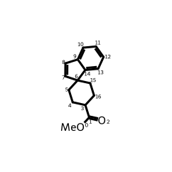 COC(=O)C1CCC2(C=Cc3ccccc32)CC1